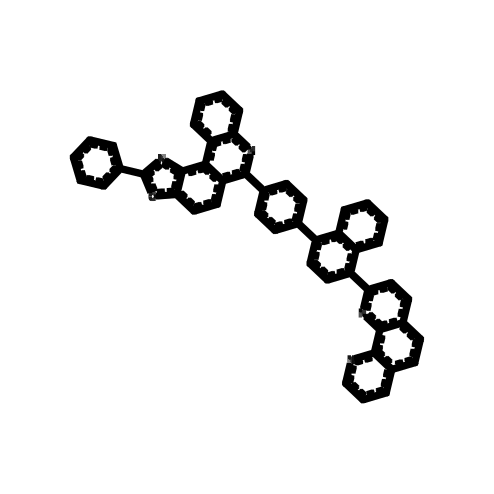 c1ccc(-c2nc3c(ccc4c(-c5ccc(-c6ccc(-c7ccc8ccc9cccnc9c8n7)c7ccccc67)cc5)nc5ccccc5c43)o2)cc1